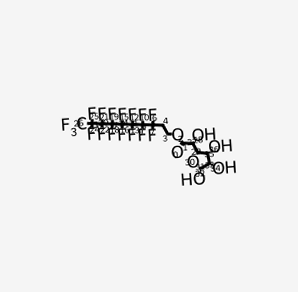 O=C(OCCC(F)(F)C(F)(F)C(F)(F)C(F)(F)C(F)(F)C(F)(F)C(F)(F)C(F)(F)F)[C@@H](O)[C@H]1O[C@@H](O)[C@H](O)[C@H]1O